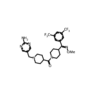 CON=C(c1cc(C(F)(F)F)cc(C(F)(F)F)c1)C1CCN(C(=O)C2CCN(Cc3cnc(N)nc3)CC2)CC1